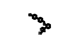 CC(C)c1nc(-c2ccccc2OCc2ccc(-c3ccc(Cl)cc3)cc2)cs1